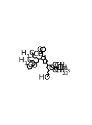 CC=CC(CC(CCC=C(C)C)C1C(OC2CCCCO2)CC2C=C(C(CCCCO)CO[Si](C)(C)C(C)(C)C)CC21)OC1CCCCO1